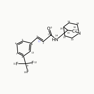 O=C(/C=C/c1cccc(C(F)(F)F)c1)NC1CN2CCC1CC2